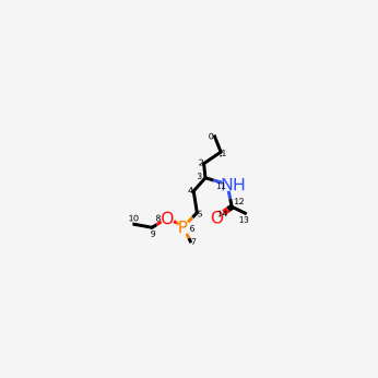 C[CH]CC(CCP(C)OCC)NC(C)=O